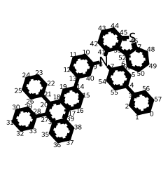 c1ccc(-c2ccc(N(c3cccc(-c4ccc5c(c4)c(-c4ccccc4)c(-c4ccccc4)c4ccccc45)c3)c3cccc4sc5ccccc5c34)cc2)cc1